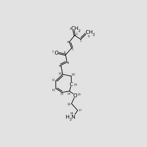 C=CC(=C)/C=C/C(=O)/C=C/C1=CC=CC(OCCN)CC1